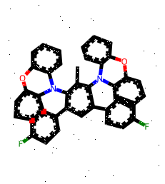 Cc1c(N2c3ccccc3Oc3ccccc32)c(-c2ccc(F)cc2)cc(-c2ccc(F)cc2)c1N1c2ccccc2Oc2ccccc21